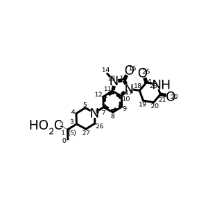 C[C@H](C(=O)O)C1CCN(c2ccc3c(c2)n(C)c(=O)n3C2CCC(=O)NC2=O)CC1